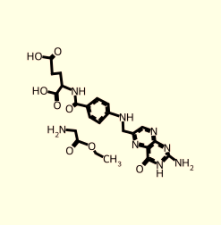 CCOC(=O)CN.Nc1nc2ncc(CNc3ccc(C(=O)NC(CCC(=O)O)C(=O)O)cc3)nc2c(=O)[nH]1